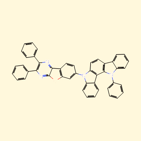 c1ccc(-c2nc3oc4cc(-n5c6ccccc6c6c5ccc5c7ccccc7n(-c7ccccc7)c56)ccc4c3nc2-c2ccccc2)cc1